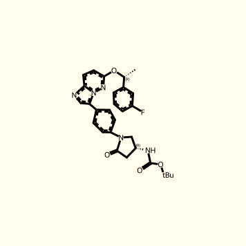 C[C@@H](Oc1ccc2ncc(-c3ccc(N4C[C@H](NC(=O)OC(C)(C)C)CC4=O)cc3)n2n1)c1cccc(F)c1